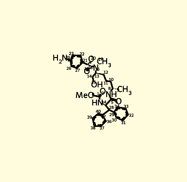 COC(=O)N[C@H](C(=O)N[C@@H](C)CCC[C@@H](CO)N(C)S(=O)(=O)c1ccc(N)cc1)C(c1ccccc1)c1ccccc1